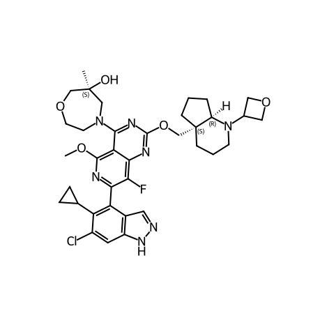 COc1nc(-c2c(C3CC3)c(Cl)cc3[nH]ncc23)c(F)c2nc(OC[C@]34CCC[C@H]3N(C3COC3)CCC4)nc(N3CCOC[C@@](C)(O)C3)c12